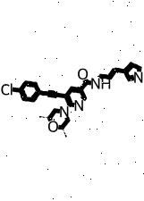 C[C@@H]1CN(c2ncc(C(=O)NC/C=C/C3=CCN=C3)cc2C#Cc2ccc(Cl)cc2)C[C@H](C)O1